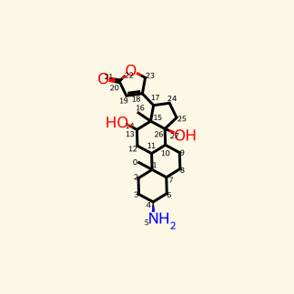 CC12CC[C@H](N)CC1CCC1C2CC(O)C2(C)C(C3=CC(=O)OC3)CCC12O